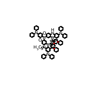 CSN1c2cc3c(cc2B2c4sc5ccccc5c4N(c4ccccc4)c4cc(N(c5ccccc5)c5ccccc5)cc1c42)B1c2cc4c(cc2Oc2cc(N(c5ccccc5)c5ccccc5)cc(c21)O3)Nc1cc(N(c2ccccc2)c2ccccc2)cc2c1B4c1sc3ccccc3c1N2c1ccccc1